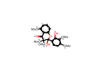 COc1ccc(C2(O)Oc3cccc(OC)c3C(=O)C2(OC)OC)c(O)c1OC